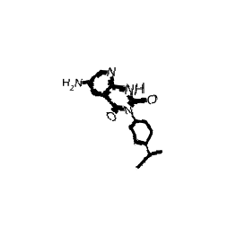 CC(C)[C@H]1CC[C@@H](n2c(=O)[nH]c3ncc(N)cc3c2=O)CC1